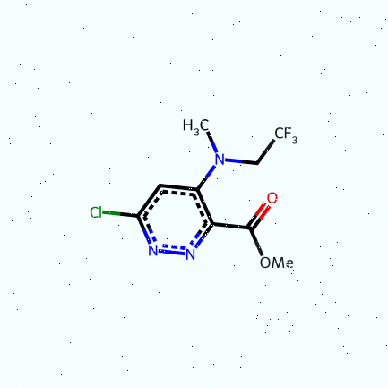 COC(=O)c1nnc(Cl)cc1N(C)CC(F)(F)F